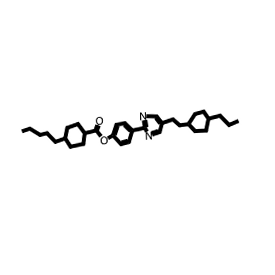 CCCCCC1CCC(C(=O)Oc2ccc(-c3ncc(CCC4CCC(CCC)CC4)cn3)cc2)CC1